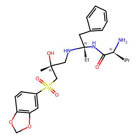 CC[C@](Cc1ccccc1)(NC[C@@](C)(O)CS(=O)(=O)c1ccc2c(c1)OCO2)NC(=O)[C@@H](N)C(C)C